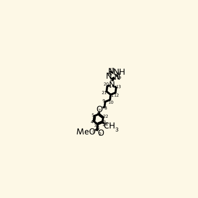 COC(=O)c1ccc(OCCCC2CCN(c3nn[nH]n3)CC2)cc1C